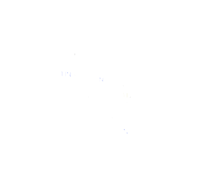 [C]1=NC=C[SH]1CN1CCNCC1